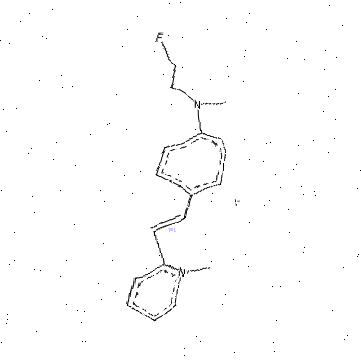 CN(CCF)c1ccc(/C=C/c2cccc[n+]2C)cc1.[I-]